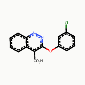 O=C(O)c1c(Oc2cccc(Cl)c2)nnc2ccccc12